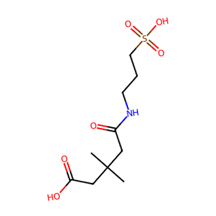 CC(C)(CC(=O)O)CC(=O)NCCCS(=O)(=O)O